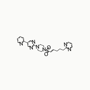 O=S(=O)(C=CCCCc1ncccn1)N1CCN(c2ncc(-c3ccccn3)cn2)CC1